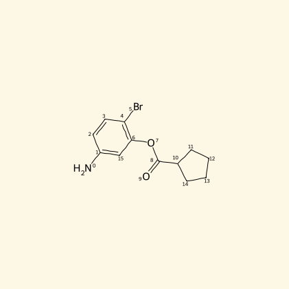 Nc1ccc(Br)c(OC(=O)C2CCCC2)c1